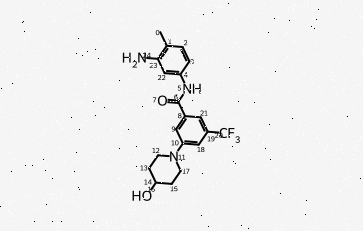 Cc1ccc(NC(=O)c2cc(N3CCC(O)CC3)cc(C(F)(F)F)c2)cc1N